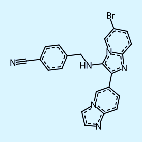 N#Cc1ccc(CNc2c(-c3ccc4nccn4c3)nc3ccc(Br)cn23)cc1